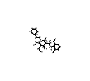 CCc1cccc(C)c1NC(=O)c1c(C)n(CCc2ccccc2)c(CC)c(CC)c1=O